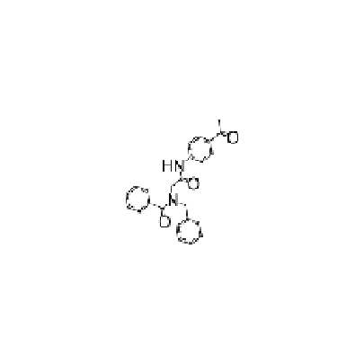 CC(=O)c1ccc(NC(=O)CN(Cc2ccccc2)C(=O)c2ccccc2)cc1